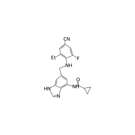 CCc1cc(C#N)cc(F)c1NCc1cc(NC(=O)C2CC2)c2nc[nH]c2c1